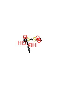 CCC=CCC(O)CC[C@@H]1C(SCCCSCC(=O)OC(C)C)C(=O)C[C@H]1O